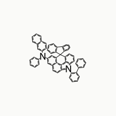 c1ccc(-c2ccccc2-n2c3cccc4c3c3c5c(cc(N(c6ccccc6)c6ccc7ccccc7c6)cc5ccc32)C42c3ccccc3-c3ccccc32)cc1